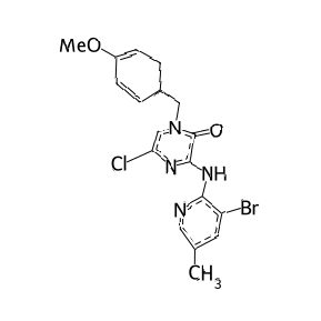 COC1=CCC(Cn2cc(Cl)nc(Nc3ncc(C)cc3Br)c2=O)C=C1